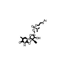 C#C[C@]1(F)C(O)[C@@H](COP(=O)(OCCSC(C)=O)N(C)C)O[C@H]1n1cc(C)c(=O)[nH]c1=O